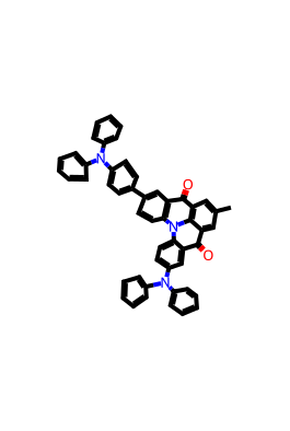 Cc1cc2c(=O)c3cc(-c4ccc(N(c5ccccc5)c5ccccc5)cc4)ccc3n3c4ccc(N(c5ccccc5)c5ccccc5)cc4c(=O)c(c1)c23